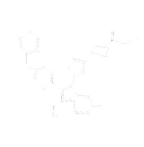 C=CC(=O)N1CC(n2cc(-c3c(-c4ccc(Oc5nccc(C)n5)cc4)c(C(N)=O)c4cnc(C)cn34)cn2)C1